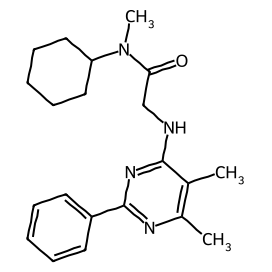 Cc1nc(-c2ccccc2)nc(NCC(=O)N(C)C2CCCCC2)c1C